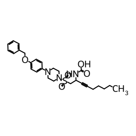 CCCCCC#CC(CS(=O)(=O)N1CCN(c2ccc(OCc3ccccc3)cc2)CC1)NC(=O)O